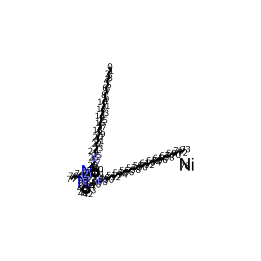 CCCCCCCCCCCCCCCCCCCCCCCCC/C=C/CCc1ccccc1/N=C(\C=N\c1ccccc1CC/C=C/CCCCCCCCCCCCCCCCCCCCCCCCC)CCCC.[Ni]